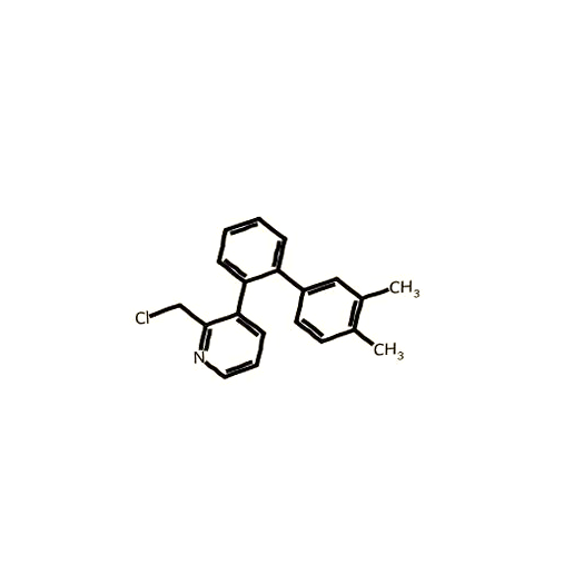 Cc1ccc(-c2ccccc2-c2cccnc2CCl)cc1C